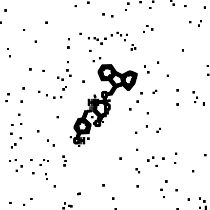 O=C(N[C@@H](Cc1ccc(O)cc1)C(=O)F)OCC1c2ccccc2-c2ccccc21